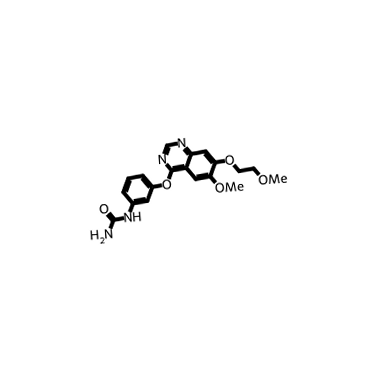 COCCOc1cc2ncnc(Oc3cccc(NC(N)=O)c3)c2cc1OC